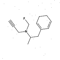 C#CCN(CF)C(C)CC1=CCCC=C1